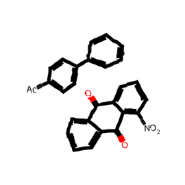 CC(=O)c1ccc(-c2ccccc2)cc1.O=C1c2ccccc2C(=O)c2c1cccc2[N+](=O)[O-]